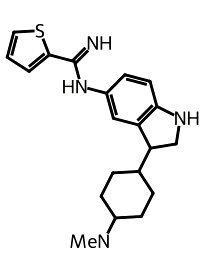 CNC1CCC(C2CNc3ccc(NC(=N)c4cccs4)cc32)CC1